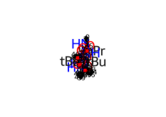 C=CCNC(=O)C(=O)C(CCC)NC(=O)[C@@H]1C2C(CN1C(=O)C(NC(=O)[C@@H](NC(=O)OC(C)(C)C)C(c1ccccc1)c1ccccc1)C(C)(C)C)C2(C)C